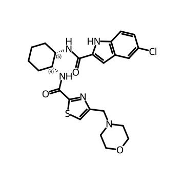 O=C(N[C@H]1CCCC[C@H]1NC(=O)c1nc(CN2CCOCC2)cs1)c1cc2cc(Cl)ccc2[nH]1